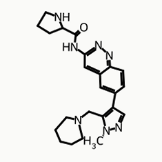 Cn1ncc(-c2ccc3nnc(NC(=O)C4CCCN4)cc3c2)c1CN1CCCCC1